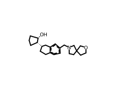 O[C@H]1CCC[C@H]1C1CCc2ccc(CN3CCC4(CCOC4)C3)cc2C1